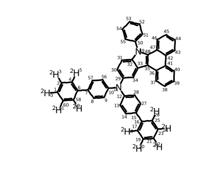 [2H]c1c([2H])c([2H])c(-c2ccc(N(c3ccc(-c4c([2H])c([2H])c([2H])c([2H])c4[2H])cc3)c3ccc4c(c3)c3c5ccccc5c5ccccc5c3n4-c3ccccc3)cc2)c([2H])c1[2H]